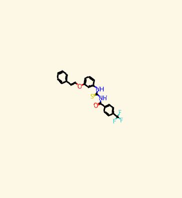 O=C(NC(=S)Nc1cccc(OCCc2ccccc2)c1)c1ccc(C(F)(F)F)cc1